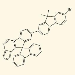 CC1(C)c2cc(Br)ccc2-c2ccc(-c3ccc4c(c3)C3(c5ccccc5-c5ccccc53)c3c-4ccc4ccccc34)cc21